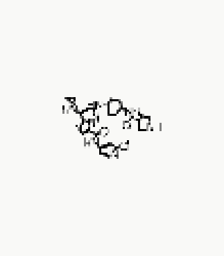 O=C(Nc1ccnc(Cl)c1)c1cnc2c(NC3CC3)cc(N[C@H]3CC[C@H](NC(=O)C4CCNCC4)CC3)nn12